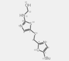 CC(C)(C)c1cnc(CSc2cnc(NCO)s2)o1